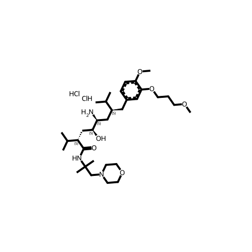 COCCCOc1cc(C[C@@H](C[C@H](N)[C@@H](O)C[C@H](C(=O)NC(C)(C)CN2CCOCC2)C(C)C)C(C)C)ccc1OC.Cl.Cl